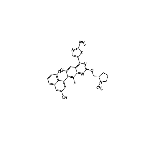 CN1CCC[C@H]1COc1nc(-c2cnc(N)s2)c2cc(Cl)c(-c3cc(O)cc4cccc(Cl)c34)c(F)c2n1